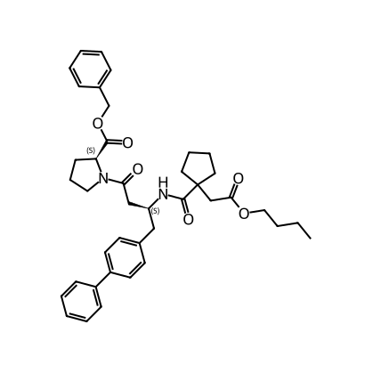 CCCCOC(=O)CC1(C(=O)N[C@H](CC(=O)N2CCC[C@H]2C(=O)OCc2ccccc2)Cc2ccc(-c3ccccc3)cc2)CCCC1